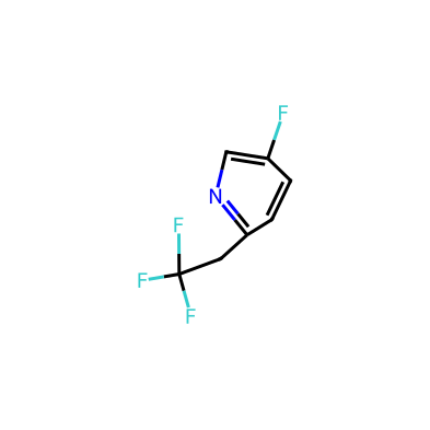 Fc1ccc(CC(F)(F)F)nc1